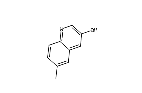 Cc1ccc2ncc(O)cc2c1